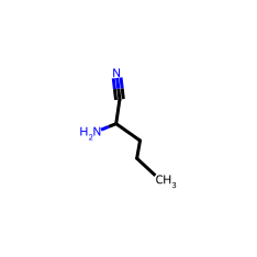 CCCC(N)C#N